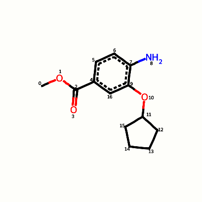 COC(=O)c1ccc(N)c(OC2CCCC2)c1